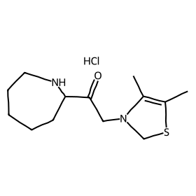 CC1=C(C)N(CC(=O)C2CCCCCN2)CS1.Cl